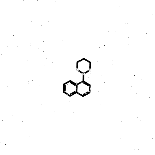 c1ccc2c(B3OCCCO3)cccc2c1